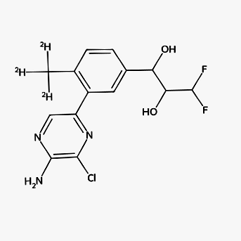 [2H]C([2H])([2H])c1ccc(C(O)C(O)C(F)F)cc1-c1cnc(N)c(Cl)n1